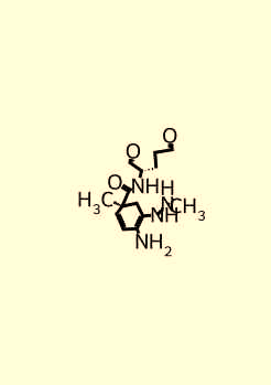 CNNC1=C(N)C=C[C@](C)(C(=O)N[C@H](C=O)CCC=O)C1